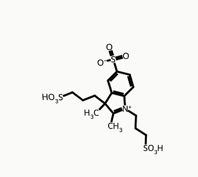 CC1=[N+](CCCS(=O)(=O)O)c2ccc(S(=O)(=O)[O-])cc2C1(C)CCCS(=O)(=O)O